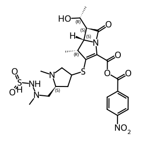 C[C@@H](O)[C@H]1C(=O)N2C(C(=O)OC(=O)c3ccc([N+](=O)[O-])cc3)=C(SC3C[C@@H](CN(C)N[SH](=O)=O)N(C)C3)[C@H](C)[C@H]12